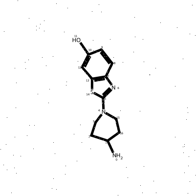 NC1CCN(c2nc3ccc(O)cc3s2)CC1